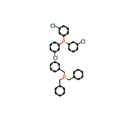 Clc1cccc(P(c2cccc(Cl)c2)c2cccc(Cl)c2)c1.c1ccc(CP(Cc2ccccc2)Cc2ccccc2)cc1